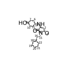 O=C1C=C(Nc2ccc(O)cc2)C(=O)N1CCc1ccccc1